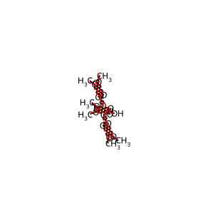 CCCCOC(=O)c1ccc2c3ccc4c5c(ccc(c6ccc(OCCCC)c1c62)c53)C(=O)N(CCc1ccc(Oc2cc(C(=O)OCCCC)c3c(C(=O)OCCCC)ccc5c6c(Oc7ccc(CCN8C(=O)c9ccc%10c%11ccc(OCCCC)c%12c(C(=O)OCCCC)ccc(c%13ccc(c9c%10%13)C8=O)c%12%11)cc7)cc7c8c(ccc(c2c35)c86)C(=O)N(CCO)C7=O)cc1)C4=O